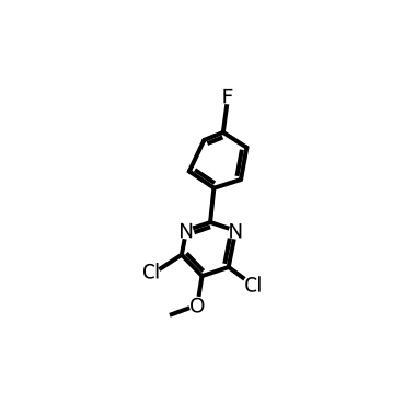 COc1c(Cl)nc(-c2ccc(F)cc2)nc1Cl